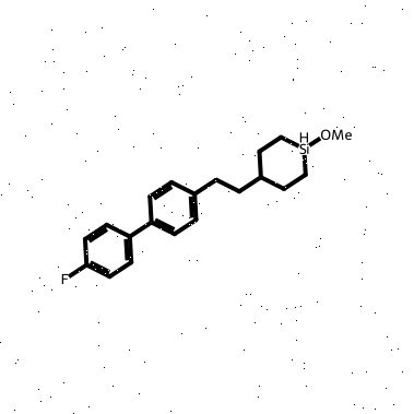 CO[SiH]1CCC(CCc2ccc(-c3ccc(F)cc3)cc2)CC1